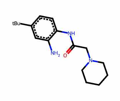 CC(C)(C)c1ccc(NC(=O)CN2CCCCC2)c(N)c1